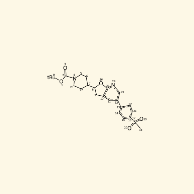 CC(C)(C)OC(=O)N1CCC(C2Cc3cc(-c4ccc(S(C)(=O)=O)cc4)cnc3O2)CC1